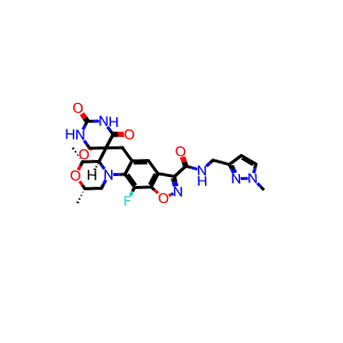 C[C@H]1CN2c3c(cc4c(C(=O)NCc5ccn(C)n5)noc4c3F)CC3(C(=O)NC(=O)NC3=O)[C@@H]2[C@@H](C)O1